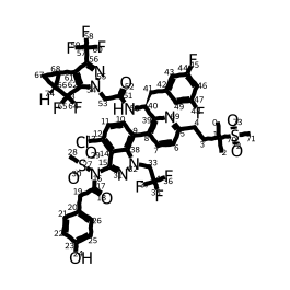 CC(C)(CCc1ccc(-c2ccc(Cl)c3c(N(C(=O)Cc4ccc(O)cc4)S(C)(=O)=O)nn(CC(F)(F)F)c23)c([C@H](Cc2cc(F)cc(F)c2)NC(=O)Cn2nc(C(F)(F)F)c3c2C(F)(F)[C@@H]2CC32)n1)S(C)(=O)=O